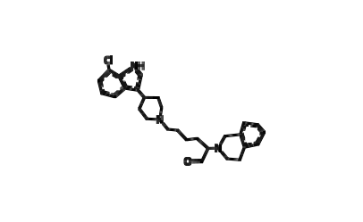 O=CC(CCCCN1CCC(c2c[nH]c3c(Cl)cccc23)CC1)N1CCc2ccccc2C1